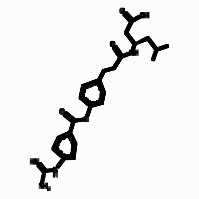 CC(C)C[C@H](CC(=O)O)NC(=O)CCc1ccc(OC(=O)c2ccc(NC(=N)N)cc2)cc1